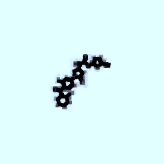 Cc1cc(N2CC(NC(=O)Oc3ccc(Br)s3)CC2=O)ccc1C(=O)N1CCCCC1C